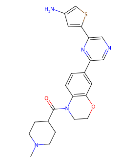 CN1CCC(C(=O)N2CCOc3cc(-c4cncc(-c5cc(N)cs5)n4)ccc32)CC1